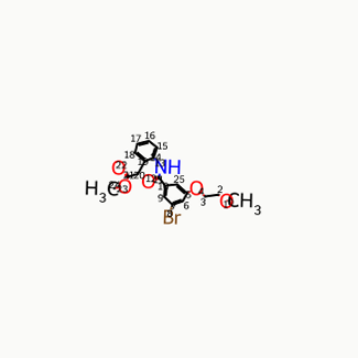 COCCOc1cc(Br)cc(C(=O)Nc2ccccc2CC(=O)OC)c1